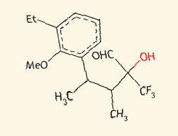 CCc1cccc(C(C)C(C)C(O)(C=O)C(F)(F)F)c1OC